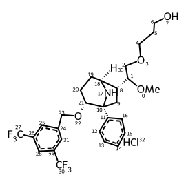 COC(COCCCO)[C@@H]1C[C@]2(c3ccccc3)N[C@H]1CC[C@H]2OCc1cc(C(F)(F)F)cc(C(F)(F)F)c1.Cl